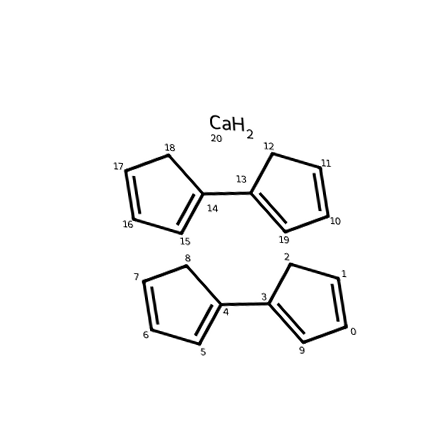 C1=CCC(C2=CC=CC2)=C1.C1=CCC(C2=CC=CC2)=C1.[CaH2]